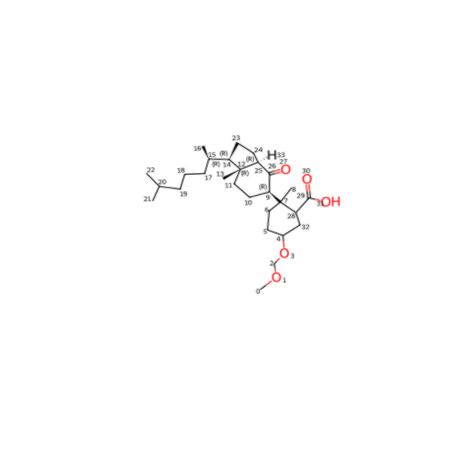 COCOC1CCC(C)([C@H]2CC[C@]3(C)[C@@H]([C@H](C)CCCC(C)C)CC[C@H]3C2=O)C(C(=O)O)C1